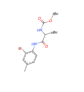 CCCCC(NC(=O)OC(C)(C)C)C(=O)Nc1ccc(C)cc1Br